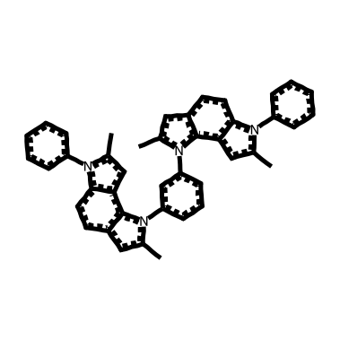 Cc1cc2c(ccc3cc(C)n(-c4cccc(-n5c(C)cc6ccc7c(cc(C)n7-c7ccccc7)c65)c4)c32)n1-c1ccccc1